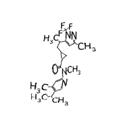 Cc1cc([C@H](C)CC2CC2C(=O)N(C)c2cc(C)c(C(C)C)cn2)n(C(F)(F)F)n1